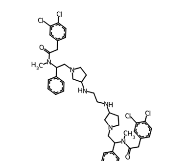 CN(C(=O)Cc1ccc(Cl)c(Cl)c1)C(CN1CCC(NCCNC2CCN(CC(c3ccccc3)N(C)C(=O)Cc3ccc(Cl)c(Cl)c3)C2)C1)c1ccccc1